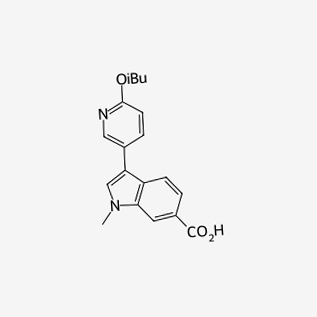 CC(C)COc1ccc(-c2cn(C)c3cc(C(=O)O)ccc23)cn1